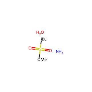 CCC(C)S(=O)(=O)OC.N.O